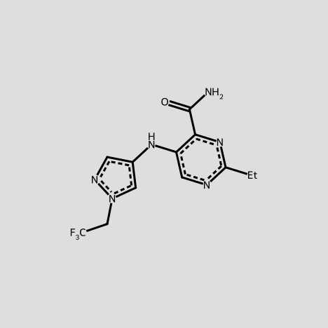 CCc1ncc(Nc2cnn(CC(F)(F)F)c2)c(C(N)=O)n1